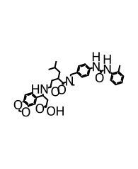 Cc1ccccc1NC(=O)Nc1ccc(CN(C)C(=O)C(CC(=O)NC(CC(=O)O)c2ccc3c(c2)OCO3)CC(C)C)cc1